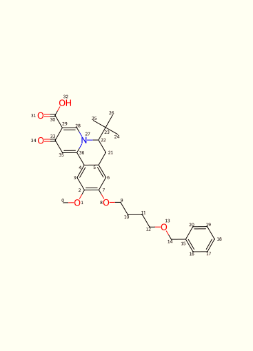 COc1cc2c(cc1OCCCCOCc1ccccc1)CC(C(C)(C)C)n1cc(C(=O)O)c(=O)cc1-2